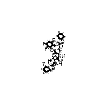 C[C@H](NC(=O)C(=O)Nc1c(F)cccc1F)C(=O)N[C@@H](CCOC(=O)Oc1ccccc1)C(=O)COc1c(F)c(F)cc(F)c1F